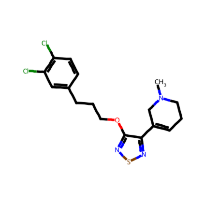 CN1CCC=C(c2nsnc2OCCCc2ccc(Cl)c(Cl)c2)C1